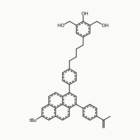 C=C(C)c1ccc(-c2cc(-c3ccc(CCCCc4cc(CO)c(O)c(CO)c4)cc3)c3ccc4cc(C(C)(C)C)cc5ccc2c3c45)cc1